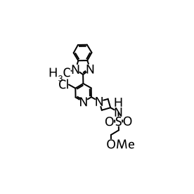 COCCS(=O)(=O)NC1CN(c2cc(-c3nc4ccccc4n3C)c(Cl)cn2)C1